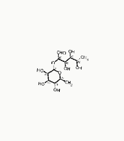 C[C@H](O)[C@H](O)[C@@H](O)[C@H](C=O)O[C@@H]1O[C@@H](C)[C@H](O)[C@@H](O)[C@H]1O